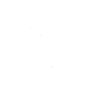 COc1cccc2c1N(C)c1cccc(CCc3nc(O)c(-c4ccccc4)s3)c1S2